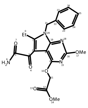 CCc1c(C(=O)C(N)=O)c2c(OCC(=O)OC)nc(OC)nc2n1Cc1ccccc1